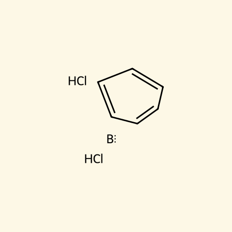 Cl.Cl.[B].c1ccccc1